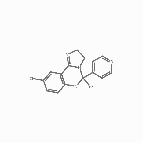 CCCC1(c2ccncc2)Nc2ccc(Cl)cc2C2=NCCN21